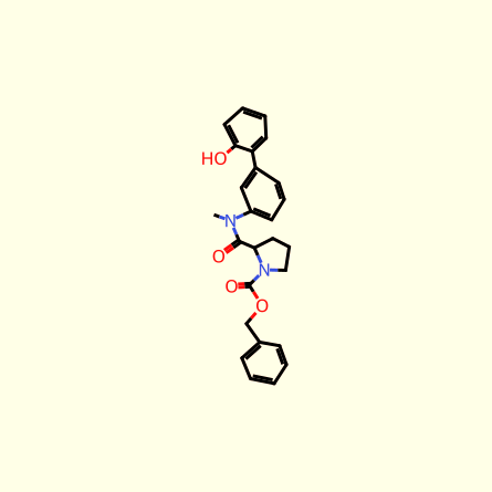 CN(C(=O)C1CCCN1C(=O)OCc1ccccc1)c1cccc(-c2ccccc2O)c1